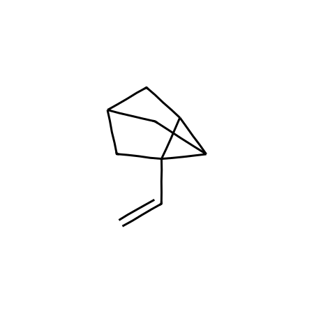 C=CC12CC3CC1C2C3